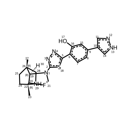 CN(c1nnc(-c2ccc(-c3cn[nH]c3)cc2O)s1)[C@H]1C(F)[C@@]2(C)CC[C@]1(C)CN2